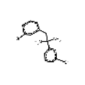 NC(N)(Cc1cccc(Br)c1)c1cccc(Br)c1